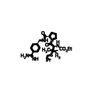 CCOC(=O)N[C@@H](C(=O)N1CCC[C@H]1C(=O)NC[C@H]1CC[C@H](C(=N)N)CC1)C(C)(C)SCC(C)C